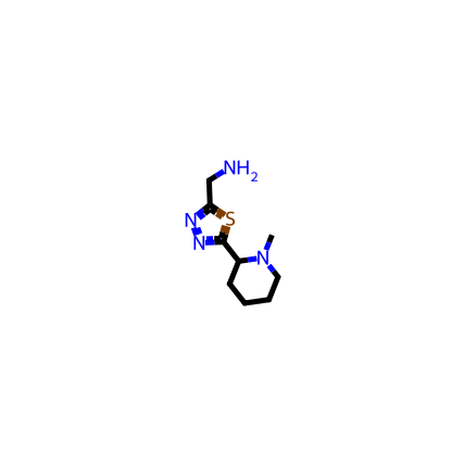 CN1CCCCC1c1nnc(CN)s1